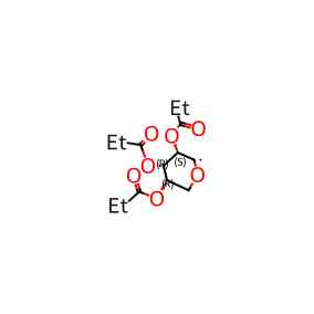 CCC(=O)O[C@@H]1[C@@H](OC(=O)CC)[CH]OC[C@H]1OC(=O)CC